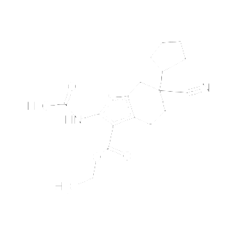 CCOC(=O)c1c(NC(C)=O)sc2c1CCC(C#N)(C1CCCC1)C2